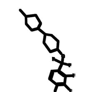 Cc1ccc(C(F)(F)OC2CCC(C3CCC(C)CC3)CC2)c(F)c1F